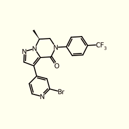 C[C@H]1CN(c2ccc(C(F)(F)F)cc2)C(=O)c2c(-c3ccnc(Br)c3)cnn21